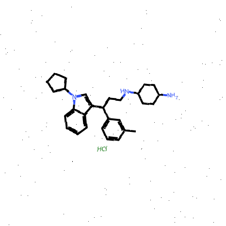 Cc1cccc(C(CCNC2CCC(N)CC2)c2cn(C3CCCC3)c3ccccc23)c1.Cl